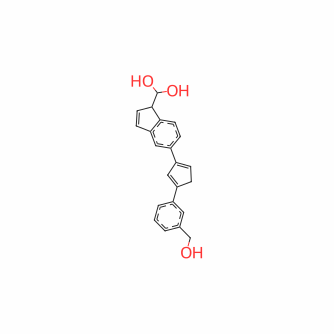 OCc1cccc(C2=CC(c3ccc4c(c3)C=CC4C(O)O)=CC2)c1